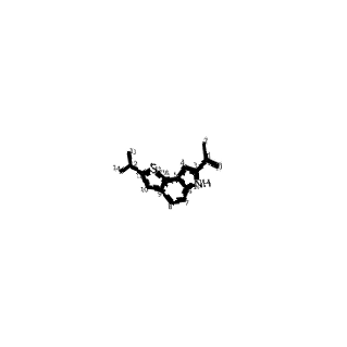 CC(C)c1cc2c(ccc3cc(C(C)C)sc32)[nH]1